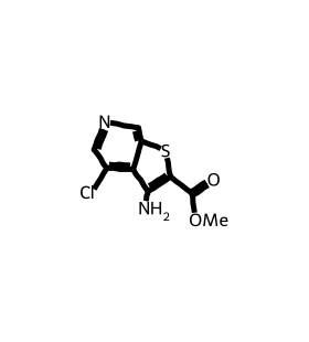 COC(=O)c1sc2cncc(Cl)c2c1N